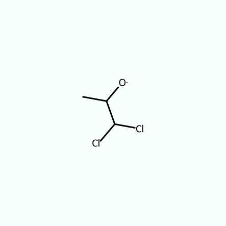 CC([O])C(Cl)Cl